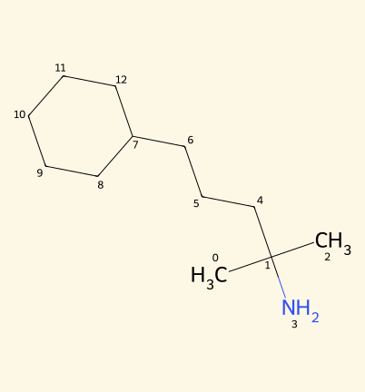 CC(C)(N)CCCC1CCCCC1